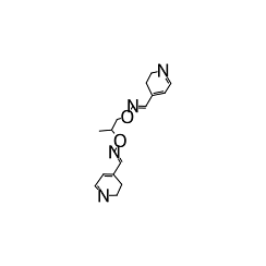 CC(CON=CC1=CC=NCC1)ON=CC1=CC=NCC1